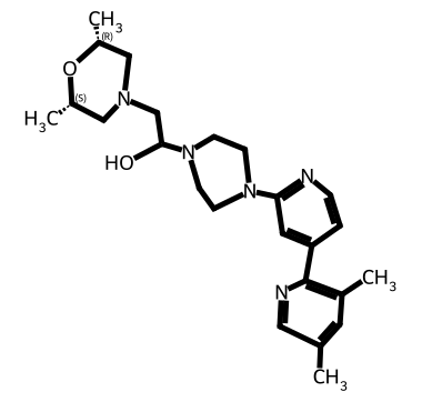 Cc1cnc(-c2ccnc(N3CCN(C(O)CN4C[C@@H](C)O[C@@H](C)C4)CC3)c2)c(C)c1